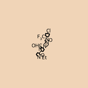 CCOc1ncccc1-c1ccc(N2CCN3C(=O)N(c4ccc(Cl)cc4C(F)(F)F)CC3C2)c(C=O)n1